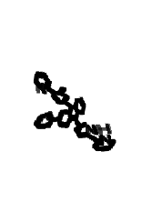 C=C1C=C(C2=c3cc(-c4ccccc4)ccc3=C(C3=CC=C(c4ccccn4)NC3)C3CC=CC=C23)C=CC1c1ccccn1